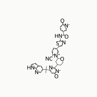 Cn1cc(C(=O)Nc2ncc(-c3ccc(C#N)[n+](C4CC(c5nc(C(C)(C)c6cnc7[nH]ccc7c6)cc(=O)n5C)CCO4)c3)s2)ccc1=O